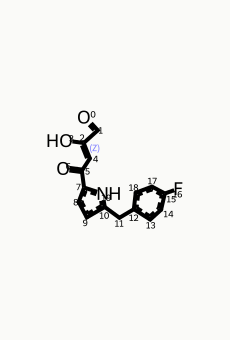 O=C/C(O)=C/C(=O)c1ccc(Cc2ccc(F)cc2)[nH]1